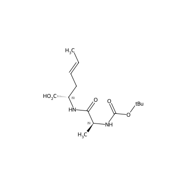 CC=CC[C@H](NC(=O)[C@H](C)NC(=O)OC(C)(C)C)C(=O)O